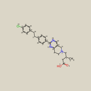 CC(CC(=O)O)CN1CCc2nc(-c3ccc(CCc4ccc(Cl)cc4)cc3)ncc2C1